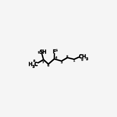 CCCCC(F)CC(C)S